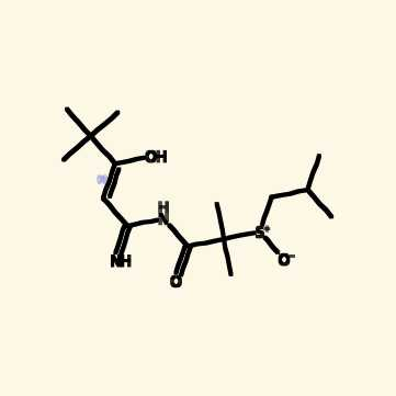 CC(C)C[S+]([O-])C(C)(C)C(=O)NC(=N)/C=C(\O)C(C)(C)C